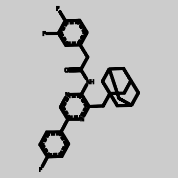 O=C(Cc1ccc(F)c(F)c1)Nc1ncc(-c2ccc(F)cc2)nc1CC12CC3CC(CC(C3)C1)C2